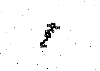 CSCCCCc1ccc(NC(=O)C2NCC[C@@H]2O)cc1